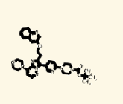 CC(C)(C)OC(=O)N1CCN(c2ccc(-c3c(CCOc4cnc5ccccc5c4)nc4c(N5CCOCC5)ccnn34)cn2)CC1